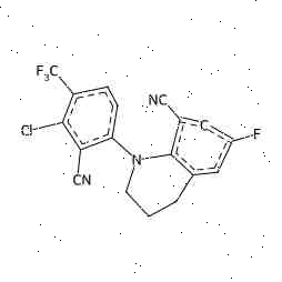 N#Cc1cc(F)cc2c1N(c1ccc(C(F)(F)F)c(Cl)c1C#N)CCC2